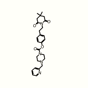 CC1(C)CC(=O)N(CCc2ccc(OC(=O)N3CCN(Cc4ccccn4)CC3)cc2)C(=O)C1